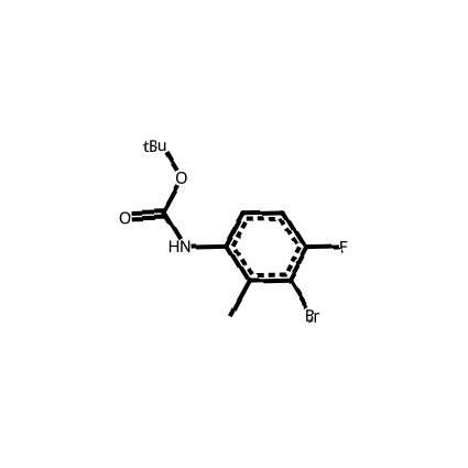 Cc1c(NC(=O)OC(C)(C)C)ccc(F)c1Br